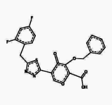 O=C(O)c1occ(-c2nnc(Cc3ccc(F)cc3F)s2)c(=O)c1OCc1ccccc1